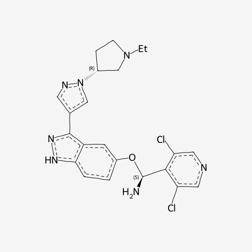 CCN1CC[C@@H](n2cc(-c3n[nH]c4ccc(O[C@H](N)c5c(Cl)cncc5Cl)cc34)cn2)C1